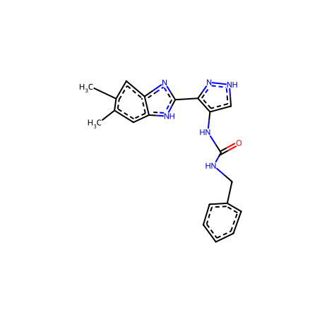 Cc1cc2nc(-c3n[nH]cc3NC(=O)NCc3ccccc3)[nH]c2cc1C